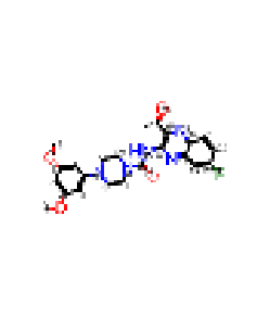 COc1cc(OC)cc(N2CCN(C(=O)Nc3nc4cc(F)ccc4nc3C=O)CC2)c1